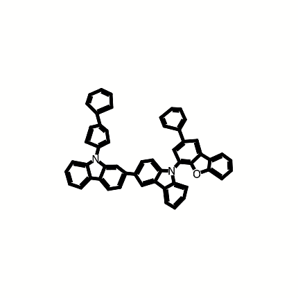 c1ccc(-c2ccc(-n3c4ccccc4c4ccc(-c5ccc6c(c5)c5ccccc5n6-c5cc(-c6ccccc6)cc6c5oc5ccccc56)cc43)cc2)cc1